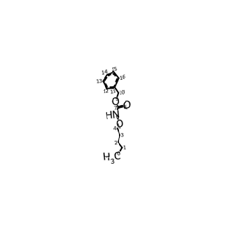 CCCC[CH]ONC(=O)OCc1ccccc1